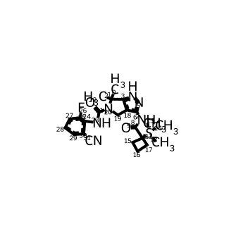 CC1(C)c2[nH]nc(NC(=O)C3(S(C)(C)C)CCC3)c2CN1C(=O)Nc1c(F)cccc1C#N